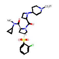 CCOC(=O)N1CCC(N2CCC2C(=O)N2C[C@H](S(=O)(=O)c3ccccc3Cl)C[C@H]2C(=O)N(C#N)C2CC2)CC1